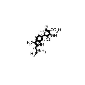 CCc1c(-c2ccc3c(C(F)(F)F)c(CN(C)C)[nH]c3c2)[nH]c(=O)c(C(=O)O)c1O